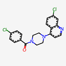 O=C(c1ccc(Cl)cc1)N1CCN(c2ccnc3cc(Cl)ccc23)CC1